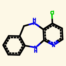 Clc1ccnc2c1NCc1ccccc1N2